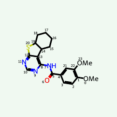 COc1ccc(C(=O)Nc2ncnc3c2C2CCCCC2S3)cc1OC